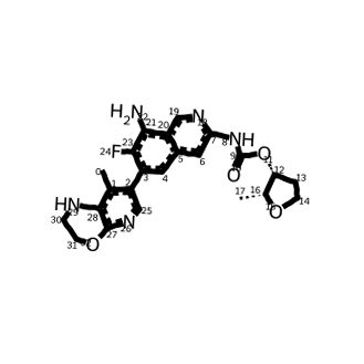 Cc1c(-c2cc3cc(NC(=O)O[C@@H]4CCO[C@@H]4C)ncc3c(N)c2F)cnc2c1NCCO2